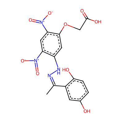 CC(=NNc1cc(OCC(=O)O)c([N+](=O)[O-])cc1[N+](=O)[O-])c1cc(O)ccc1O